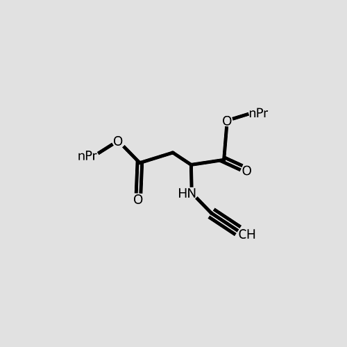 C#CNC(CC(=O)OCCC)C(=O)OCCC